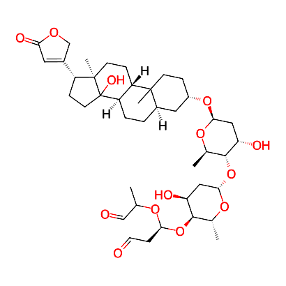 CC(C=O)O[C@H](CC=O)O[C@H]1[C@@H](O)C[C@H](O[C@H]2[C@@H](O)C[C@H](O[C@H]3CCC4(C)[C@H](CC[C@@H]5[C@@H]4CC[C@]4(C)[C@@H](C6=CC(=O)OC6)CCC54O)C3)O[C@@H]2C)O[C@@H]1C